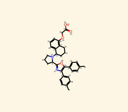 Cc1ccc(-c2nc(C3CCCN3C3CCCc4c(OCC(=O)O)cccc43)oc2-c2ccc(C)cc2)cc1